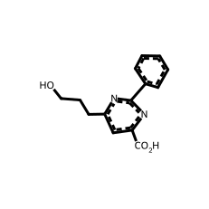 O=C(O)c1cc(CCCO)nc(-c2ccccc2)n1